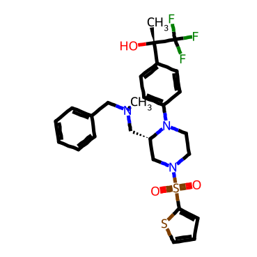 CN(Cc1ccccc1)C[C@H]1CN(S(=O)(=O)c2cccs2)CCN1c1ccc([C@](C)(O)C(F)(F)F)cc1